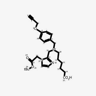 C#CCOc1ccc(CN(CCCCCC(=O)O)Cc2nccn2CC(=O)OC(C)(C)C)cc1